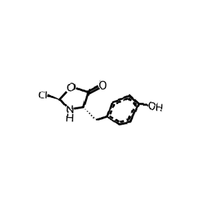 O=C1O[C@H](Cl)N[C@H]1Cc1ccc(O)cc1